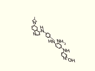 CC1CN(c2ccc3nccc(Nc4ccc(CNc5ccc(Nc6ccnc(O)c6)cc5N)cc4)c3c2)C1